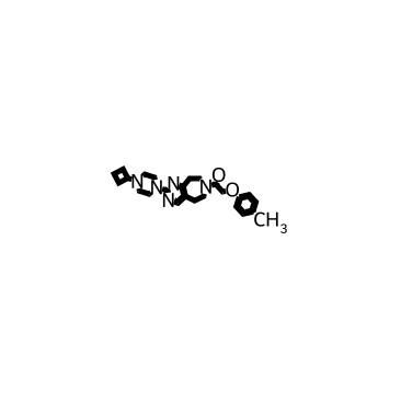 Cc1ccc(OCC(=O)N2CCc3cnc(N4CCN(C5CCC5)CC4)nc3CC2)cc1